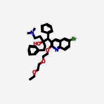 CCOCCOCCOc1nc2ccc(Br)cc2cc1C(c1ccccc1)C(O)(CCc1ccccc1)CCN(C)C